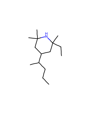 CCCC(C)C1CC(C)(C)NC(C)(CC)C1